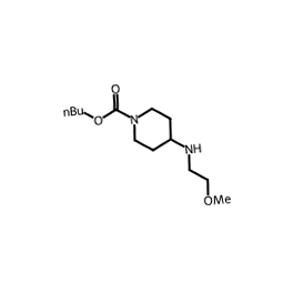 CCCCOC(=O)N1CCC(NCCOC)CC1